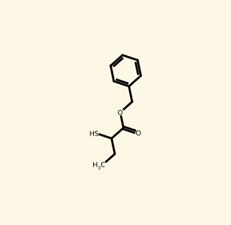 CCC(S)C(=O)OCc1ccccc1